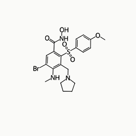 CNc1c(Br)cc(C(=O)NO)c(S(=O)(=O)c2ccc(OC)cc2)c1CN1CCCC1